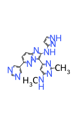 CNc1cc(-c2c(Nc3cc[nH]n3)nc3ccc(-c4cncnc4)nn23)nc(C)n1